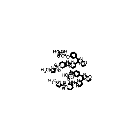 Cn1ccc(S(=O)(=O)N2CCC(Nc3nccc(-c4c(-c5cccc(OCOP(=O)(O)O)c5)nc5occn45)n3)CC2)n1.Cn1ccc(S(=O)(=O)N2CCC[C@@H](Nc3nccc(-c4c(-c5ccc(F)c(OP(=O)(O)O)c5)nc5occn45)n3)C2)n1